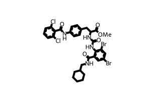 COC(=O)C(Cc1ccc(NC(=O)c2c(Cl)cccc2Cl)cc1)NC(=O)Nc1c(Br)cc(Br)cc1C(=O)NCC1CCCCC1